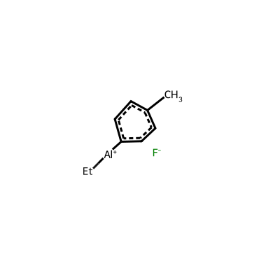 C[CH2][Al+][c]1ccc(C)cc1.[F-]